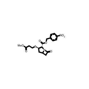 COC(=O)CCS[C@@H]1CC2CC(=O)N2[C@H]1C(=O)OCc1ccc([N+](=O)[O-])cc1